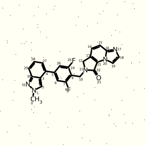 Cn1cc2c(-c3cc(F)c(CN4Cc5ccc6nccn6c5C4=O)c(F)c3)cccc2n1